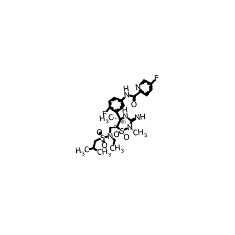 CCN(C[C@H]1[C@@](C)(c2cc(NC(=O)c3ccc(F)cn3)ccc2F)NC(=N)N(C)S1(=O)=O)S(=O)(=O)CC(C)C